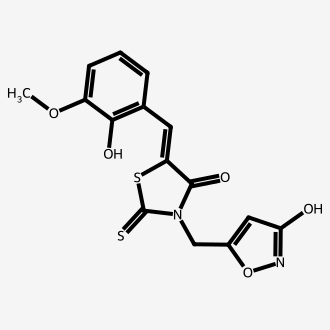 COc1cccc(/C=C2\SC(=S)N(Cc3cc(O)no3)C2=O)c1O